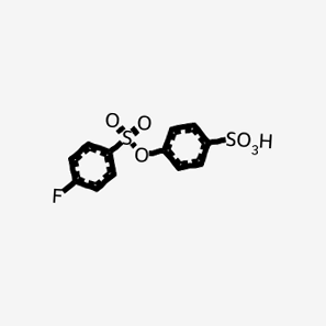 O=S(=O)(O)c1ccc(OS(=O)(=O)c2ccc(F)cc2)cc1